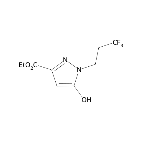 CCOC(=O)c1cc(O)n(CCC(F)(F)F)n1